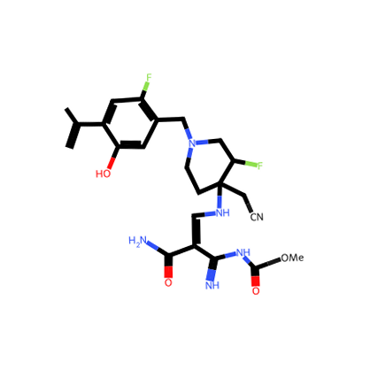 C=C(C)c1cc(F)c(CN2CCC(CC#N)(N/C=C(\C(=N)NC(=O)OC)C(N)=O)C(F)C2)cc1O